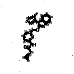 Cn1nnnc1-n1c(OCc2cccc(NC(=O)CC3CC3)n2)nc2ccccc21